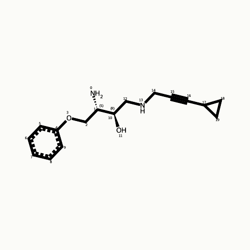 N[C@@H](COc1ccccc1)[C@H](O)CNCC#CC1CC1